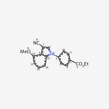 CCOC(=O)c1ccc(-n2cc(C#N)c3c(OC)cccc32)cc1